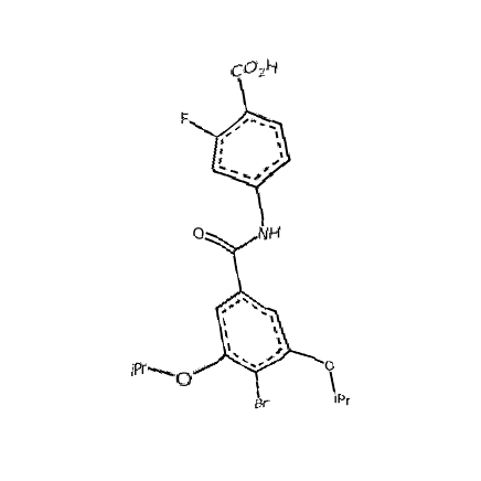 CC(C)Oc1cc(C(=O)Nc2ccc(C(=O)O)c(F)c2)cc(OC(C)C)c1Br